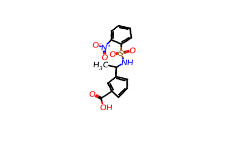 CC(NS(=O)(=O)c1ccccc1[N+](=O)[O-])c1cccc(C(=O)O)c1